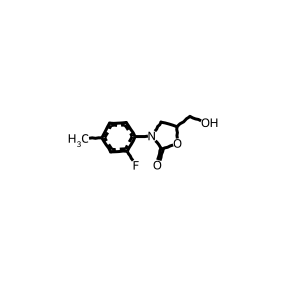 Cc1ccc(N2CC(CO)OC2=O)c(F)c1